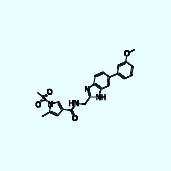 COc1cccc(-c2ccc3nc(CNC(=O)c4cc(C)n(S(C)(=O)=O)c4)[nH]c3c2)c1